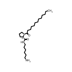 CCCCCCCCCCCCC(=O)N1CCC[C@@H]1C(=O)NCCCCCCN